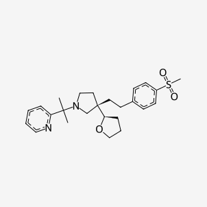 CC(C)(c1ccccn1)N1CC[C@](CCc2ccc(S(C)(=O)=O)cc2)([C@H]2CCCO2)C1